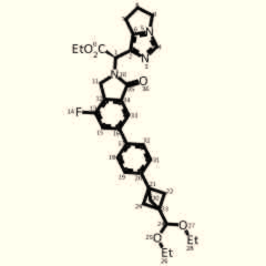 CCOC(=O)[C@@H](c1ncn2c1CCC2)N1Cc2c(F)cc(-c3ccc(C45CC(C(OCC)OCC)(C4)C5)cc3)cc2C1=O